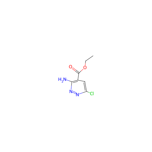 CCOC(=O)c1cc(Cl)nnc1N